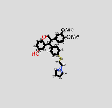 COc1ccc(C2COc3ccc(O)cc3C2c2ccc(SCCN3CCCC3)cc2)cc1OC